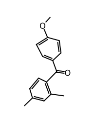 COc1ccc(C(=O)c2ccc(C)cc2C)cc1